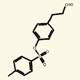 Cc1ccc(S(=O)(=O)Oc2ccc(CCC=O)cc2)cc1